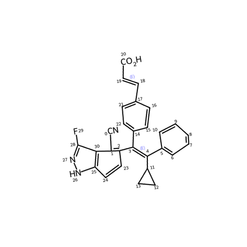 N#Cc1c(/C(=C(/c2ccccc2)C2CC2)c2ccc(/C=C/C(=O)O)cc2)ccc2[nH]nc(F)c12